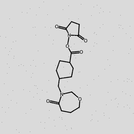 O=C(ON1C(=O)CCC1=O)C1CCC(CN2COCCCC2=O)CC1